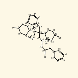 CC1CCC(C(N)(N)C(Cc2ccccc2)(CC(O)CC(C)Cc2ccccc2)C2CCC(C)CC2)CC1